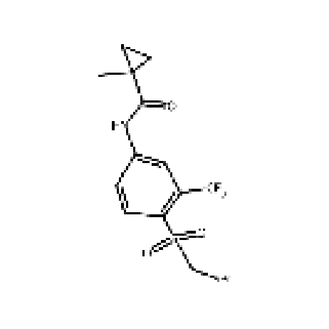 CC(C)CS(=O)(=O)c1ccc(NC(=O)C2(C)CC2)cc1C(F)(F)F